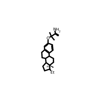 C=C(N)C(C)(C)Oc1ccc2c(c1)CCC1C2CC[C@]2(C)C(CC)CCC12